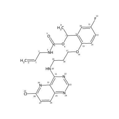 C=CCNC(=O)OC(C)c1cc(F)ccc1OCCCNc1ncnc2ccc(Cl)nc12